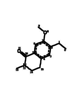 CCc1cc2c(cc1OC)C(=O)N(C)CC2